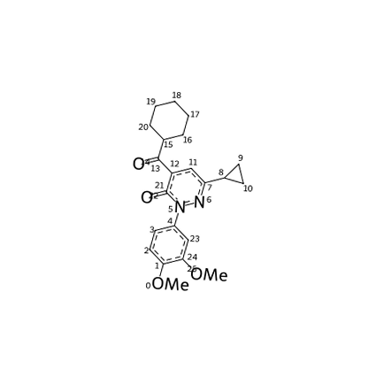 COc1ccc(-n2nc(C3CC3)cc(C(=O)C3CCCCC3)c2=O)cc1OC